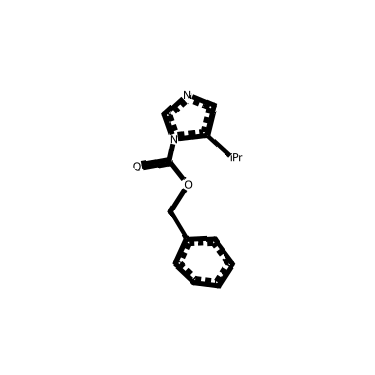 CC(C)c1cncn1C(=O)OCc1ccccc1